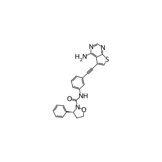 Nc1ncnc2scc(C#Cc3cccc(NC(=O)N4OCC[C@H]4c4ccccc4)c3)c12